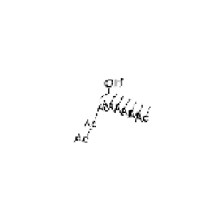 CC(=O)CCO.CC(C)=O.CC(C)=O.CC(C)=O.CC(C)=O.CC(C)=O.CC(C)=O.CC(C)=O.CC(C)=O